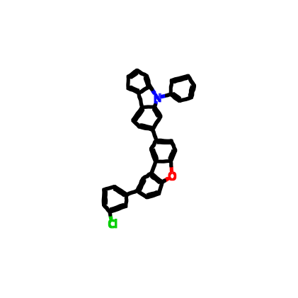 Clc1cccc(-c2ccc3oc4ccc(-c5ccc6c7ccccc7n(-c7ccccc7)c6c5)cc4c3c2)c1